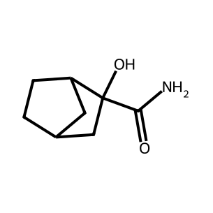 NC(=O)C1(O)CC2CCC1C2